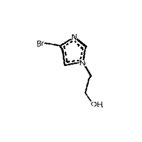 OCCn1cnc(Br)c1